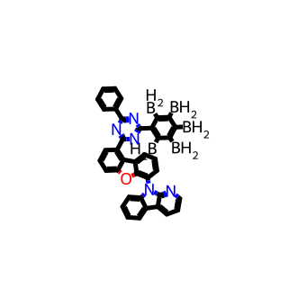 Bc1c(B)c(B)c(-c2nc(-c3ccccc3)nc(-c3cccc4oc5c(-n6c7ccccc7c7cccnc76)cccc5c34)n2)c(B)c1B